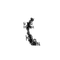 Cc1ncsc1-c1ccc([C@H](CN)NC(=O)[C@@H]2C[C@@H](O)CN2C(=O)[C@@H](NC(=O)COCCCCCOc2ccc(C(=O)N[C@H]3C(C)(C)[C@H](Oc4ccc(C#N)c(Cl)c4)C3(C)C)cc2)C(C)(C)C)cc1